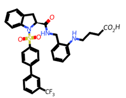 O=C(O)CCCNc1ccccc1CNC(=O)[C@@H]1Cc2ccccc2N1S(=O)(=O)c1ccc(-c2cccc(C(F)(F)F)c2)cc1